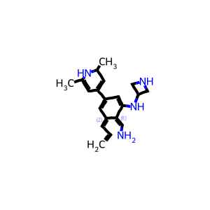 C=C/C=c1/cc(C2=CC(C)NC(C)=C2)cc(NC2CNC2)/c1=C/N